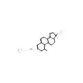 CCCC1(OC(C)=O)CC[C@H]2[C@@H]3CCC4CC(OCOC)CC(C)[C@]4(C)[C@@H]3CC[C@@]21C